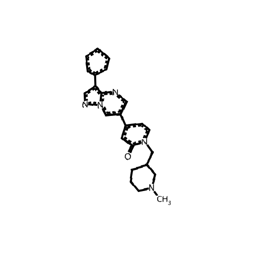 CN1CCCC(Cn2ccc(-c3cnc4c(-c5ccccc5)cnn4c3)cc2=O)C1